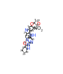 N#Cc1cnc2cc(OC3CCOC3)c([N+](=O)[O-])cc2c1Nc1cnc(NC(=O)C2CCCCC2)nc1